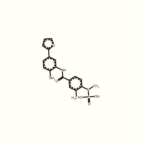 Cc1cc(C(=O)Nc2cc(-c3cccs3)ccc2N)ccc1N(C)P(=O)(O)O